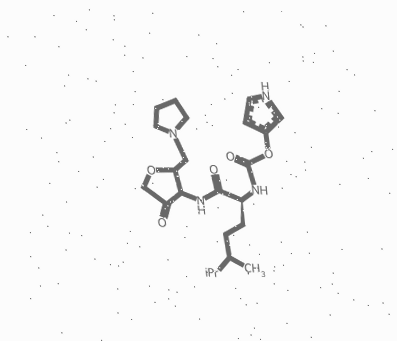 CC(C)C(C)CC[C@H](NC(=O)Oc1cc[nH]c1)C(=O)NC1C(=O)COC1CN1CCCC1